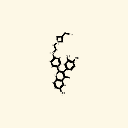 CC1=C(c2ccc(O)c(O)c2)C(c2ccc(OCCN3CC(CF)C3)cc2)Oc2ccc(O)cc21